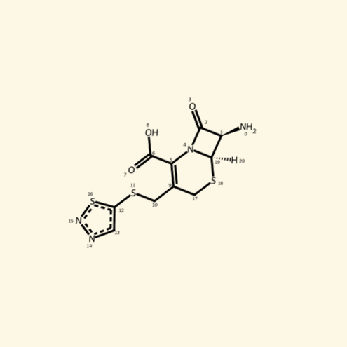 N[C@@H]1C(=O)N2C(C(=O)O)=C(CSc3cnns3)CS[C@H]12